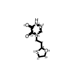 O=c1[nH]n[c]n(CCC2OCCS2)c1=O